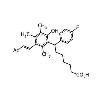 CC(=O)C=Cc1c(C)c(C)c(O)c(C(CCCCCC(=O)O)c2ccc(F)cc2)c1C